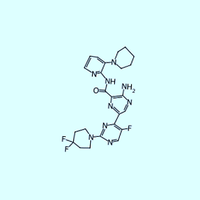 Nc1ncc(-c2nc(N3CCC(F)(F)CC3)ncc2F)nc1C(=O)Nc1ncccc1N1CCCCC1